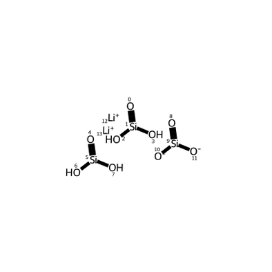 O=[Si](O)O.O=[Si](O)O.O=[Si]([O-])[O-].[Li+].[Li+]